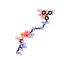 C[N+](C)(CCCC[N+](C)(C)CCCNP(=O)(O)OP(=O)(O)OP(=O)(O)OC[C@H]1O[C@@H](n2cc(/C=C/CN)c(=O)[nH]c2=O)C[C@H]1O)CCCNC(=O)c1ccc(-c2c3cc(F)c(=O)cc-3oc3cc(O)c(F)cc23)c(S(=O)(=O)O)c1